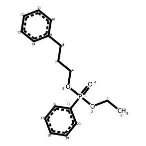 CCOP(=O)(OCCCc1ccccc1)c1ccccc1